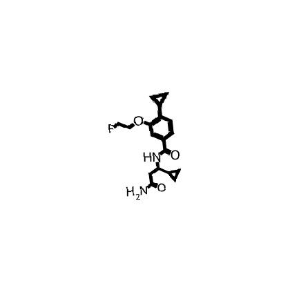 NC(=O)CC(NC(=O)c1ccc(C2CC2)c(OCCF)c1)C1CC1